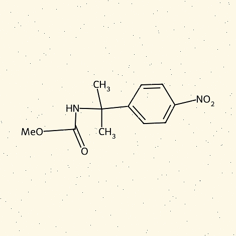 COC(=O)NC(C)(C)c1ccc([N+](=O)[O-])cc1